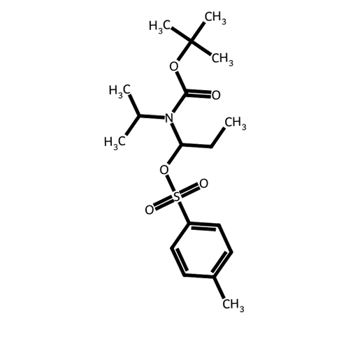 CCC(OS(=O)(=O)c1ccc(C)cc1)N(C(=O)OC(C)(C)C)C(C)C